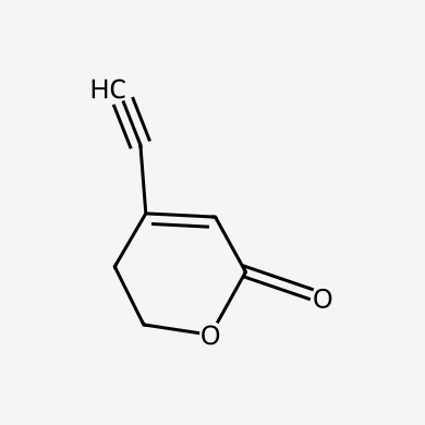 C#CC1=CC(=O)OCC1